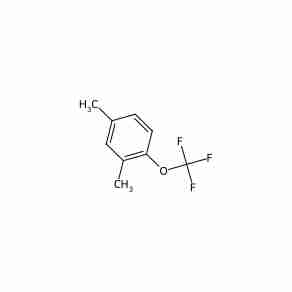 Cc1ccc(OC(F)(F)F)c(C)c1